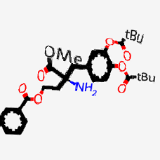 COC(=O)[C@@](N)(CCOC(=O)c1ccccc1)Cc1ccc(OC(=O)C(C)(C)C)c(OC(=O)C(C)(C)C)c1